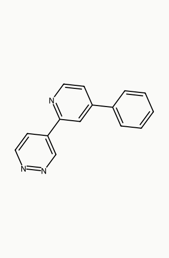 c1ccc(-c2ccnc(-c3ccnnc3)c2)cc1